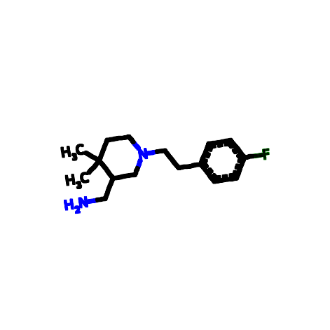 CC1(C)CCN(CCc2ccc(F)cc2)CC1CN